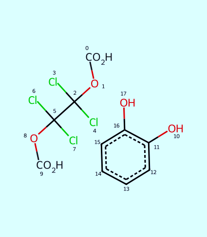 O=C(O)OC(Cl)(Cl)C(Cl)(Cl)OC(=O)O.Oc1ccccc1O